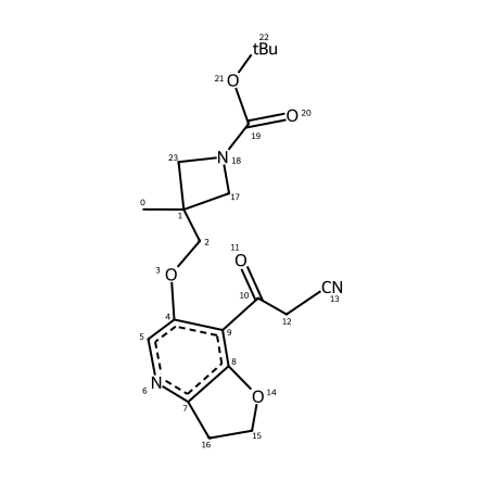 CC1(COc2cnc3c(c2C(=O)CC#N)OCC3)CN(C(=O)OC(C)(C)C)C1